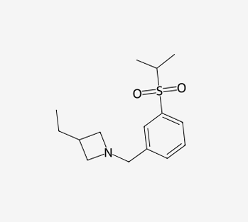 CCC1CN(Cc2cccc(S(=O)(=O)C(C)C)c2)C1